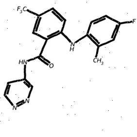 Cc1cc(F)ccc1Nc1ccc(C(F)(F)F)cc1C(=O)Nc1ccnnc1